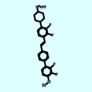 CCCCCC1CCC(c2ccc(/C=C/c3ccc(-c4ccc(OCC)c(F)c4F)cc3)c(F)c2F)CC1